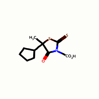 CC1(C2CCCC2)SC(=S)N(C(=O)O)C1=O